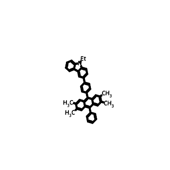 CCn1c2ccccc2c2cc(-c3ccc(-c4c5cc(C)c(C)cc5c(-c5ccccc5)c5cc(C)c(C)cc45)cc3)ccc21